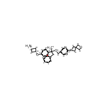 CC(Cc1ccccc1)(OCc1cnc(N2CC3(COC3)C2)nc1)c1ccc(O[C@H]2C[C@@H](N)C2)cc1